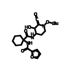 CC(C)(C)ON1CCC(NC(=O)C2(NC(=O)c3ccco3)CCCCC2)C(O)C1=C=O